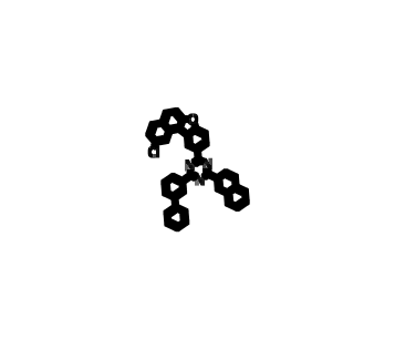 Clc1ccc2ccc3oc4ccc(-c5nc(-c6cccc(-c7ccccc7)c6)nc(-c6ccc7ccccc7c6)n5)cc4c3c2c1